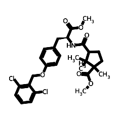 COC(=O)[C@H](Cc1ccc(OCc2c(Cl)cccc2Cl)cc1)NC(=O)C1CCC(C)(C(=O)OC)C1(C)C